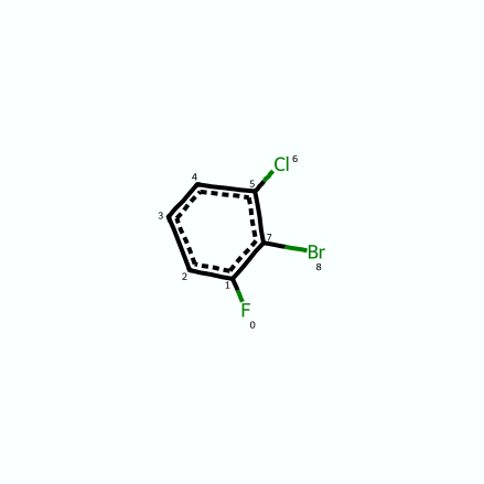 Fc1c[c]cc(Cl)c1Br